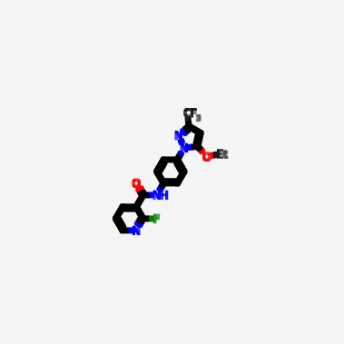 CCOc1cc(C(F)(F)F)nn1-c1ccc(NC(=O)c2cccnc2F)cc1